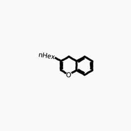 [CH2]CCCCCC1=COc2ccccc2C1